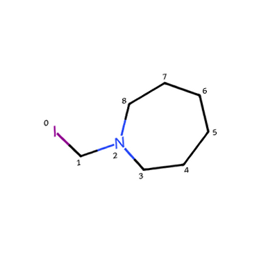 ICN1CCCCCC1